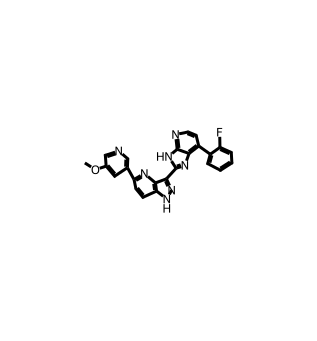 COc1cncc(-c2ccc3[nH]nc(-c4nc5c(-c6ccccc6F)ccnc5[nH]4)c3n2)c1